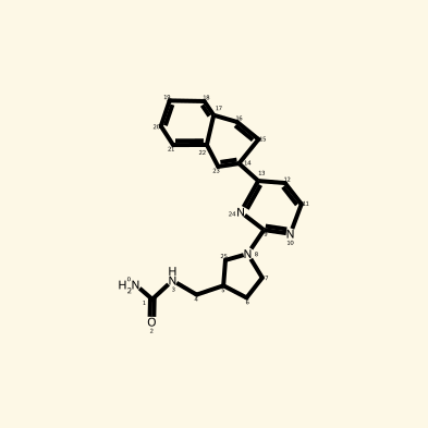 NC(=O)NCC1CCN(c2nccc(-c3ccc4ccccc4c3)n2)C1